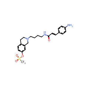 Nc1ccc(C=CC(=O)NCCCCN2CCc3ccc(OS(=O)(=O)C(F)(F)F)cc3C2)cc1